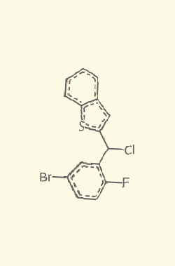 Fc1ccc(Br)cc1C(Cl)c1cc2ccccc2s1